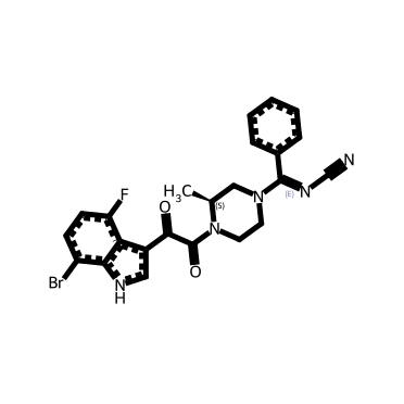 C[C@H]1CN(/C(=N/C#N)c2ccccc2)CCN1C(=O)C(=O)c1c[nH]c2c(Br)ccc(F)c12